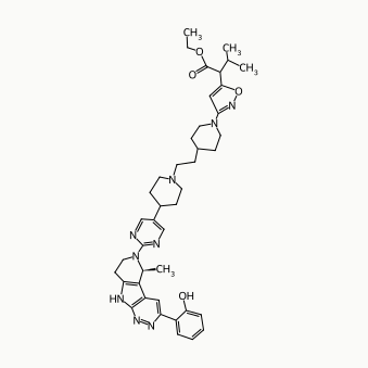 CCOC(=O)C(c1cc(N2CCC(CCN3CCC(c4cnc(N5CCc6[nH]c7nnc(-c8ccccc8O)cc7c6[C@@H]5C)nc4)CC3)CC2)no1)C(C)C